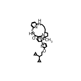 CC1(C)CCC2CCCNc3cccc(n3)SNC(=O)c3ccc(-n4ccc(OCCC(C5CC5)C5CC5)n4)nc3N21